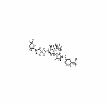 Cc1nn(Cc2cccc(C(F)F)c2)cc1-c1nn([C@H]2C[C@@]3(CCN(C(=O)OC(C)(C)C)C3)C2)c(N)c1C(N)=O